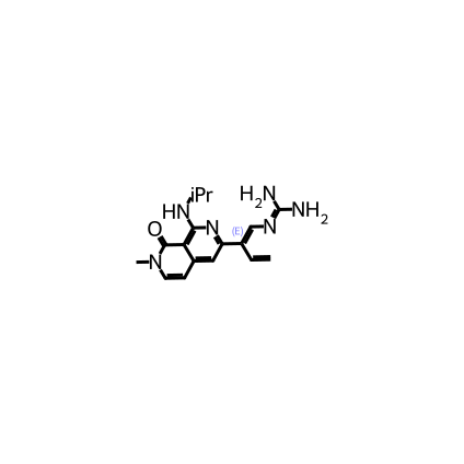 C=C/C(=C\N=C(N)N)c1cc2ccn(C)c(=O)c2c(NC(C)C)n1